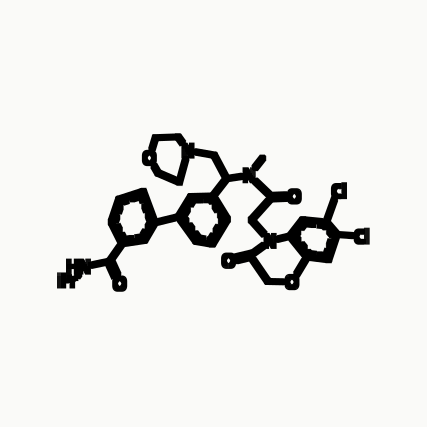 CC(C)NC(=O)c1cccc(-c2cccc(C(CN3CCOCC3)N(C)C(=O)CN3C(=O)COc4cc(Cl)c(Cl)cc43)c2)c1